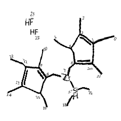 CC1=C(C)C(C)[C]([Zr]([C]2=C(C)C(C)=C(C)C2C)[SiH](C)C)=C1C.F.F